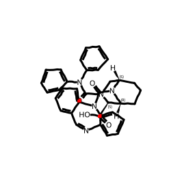 O=C(O)[C@@H]1[C@H]2CCC[C@@H](CN1C(=O)N(c1ccccc1)c1ccccc1)N2C(=O)N1c2ccccc2C=Nc2ccccc21